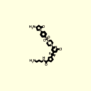 NCCCNC(=O)C1CCC(C(F)(F)c2cc(Cl)nc(N3CCN(S(=O)(=O)c4ccc(N5C[C@H](N)CC5=O)cc4)CC3)c2)C1